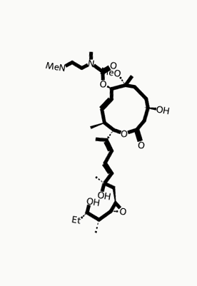 CC[C@H](O)[C@@H](C)[C@H]1O[C@@H]1C[C@@](C)(O)/C=C/C=C(\C)[C@H]1OC(=O)C[C@H](O)CC[C@@](C)(OC)[C@@H](OC(=O)N(C)CCNC)/C=C/[C@@H]1C